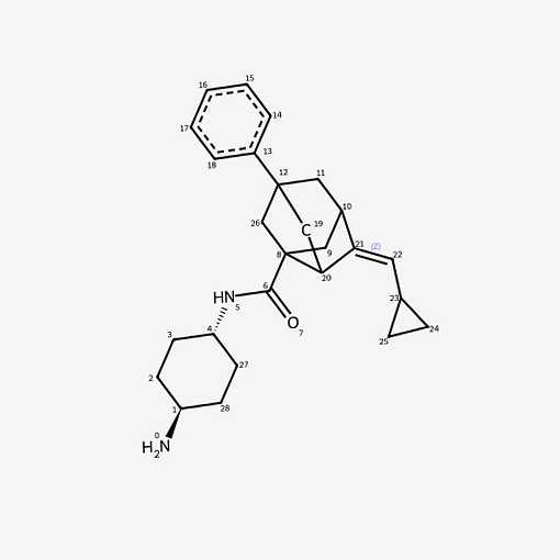 N[C@H]1CC[C@H](NC(=O)C23CC4CC(c5ccccc5)(CC2/C4=C\C2CC2)C3)CC1